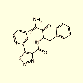 NC(=O)C(=O)C(Cc1ccccc1)NC(=O)c1nnsc1-c1ccccn1